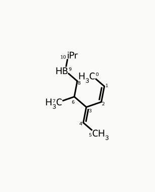 C/C=C\C(=C/C)C(C)CBC(C)C